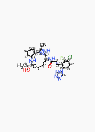 C=C(O)[C@H]1CCCC[C@H](NC(=O)/C=C/c2c(-n3cnnn3)ccc(Cl)c2F)c2nc(c(C#N)[nH]2)-c2ccccc2N1